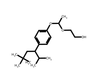 CC(OCCO)Oc1ccc(C(CC(C)(C)C)C(C)C)cc1